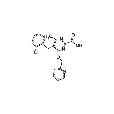 Cc1nc(C(=O)O)nc(OCc2ccccn2)c1Cc1ccccc1Cl